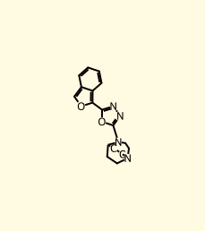 c1ccc2c(-c3nnc(N4CCN5CCC4CC5)o3)occ2c1